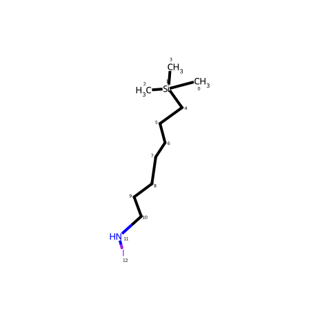 C[Si](C)(C)CCCCCCCNI